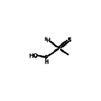 [3H]P(C)(=S)PO